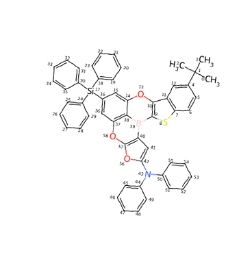 CC(C)(C)c1ccc2sc3c(c2c1)Oc1cc([Si](c2ccccc2)(c2ccccc2)c2ccccc2)cc2c1B3c1cc(N(c3ccccc3)c3ccccc3)oc1O2